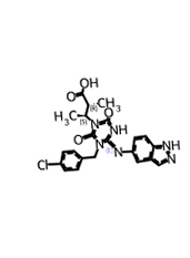 C[C@@H](C(=O)O)[C@H](C)n1c(=O)[nH]/c(=N\c2ccc3[nH]ncc3c2)n(Cc2ccc(Cl)cc2)c1=O